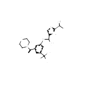 CC(N)c1ncc(C(O)Nc2cc(C(=O)N3CCOCC3)cc(C(F)(F)F)c2)s1